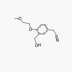 COCCOc1ccc(CC#N)cc1CO